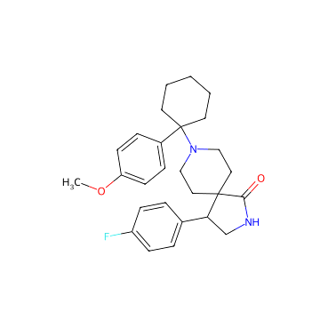 COc1ccc(C2(N3CCC4(CC3)C(=O)NCC4c3ccc(F)cc3)CCCCC2)cc1